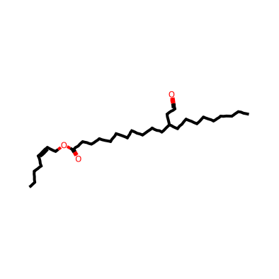 CCCC/C=C\COC(=O)CCCCCCCCCCC(CC=O)CCCCCCCCC